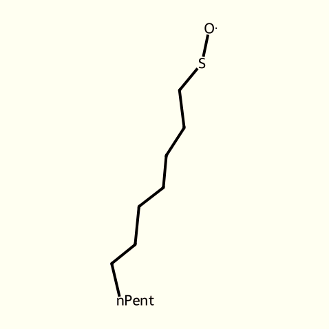 CCCCCCCCCCCCS[O]